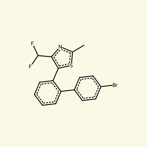 Cc1nc(C(F)F)c(-c2ccccc2-c2ccc(Br)cc2)s1